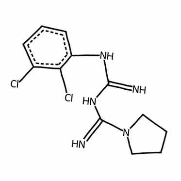 N=C(NC(=N)N1CCCC1)Nc1cccc(Cl)c1Cl